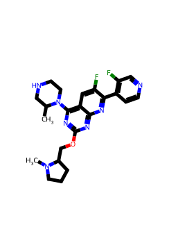 CC1CNCCN1c1nc(OCC2CCCN2C)nc2nc(-c3ccncc3F)c(F)cc12